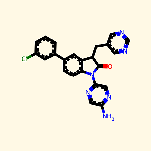 Nc1cnc(N2C(=O)C(Cc3cncnc3)c3cc(-c4cccc(Cl)c4)ccc32)cn1